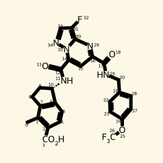 Cc1c(C(=O)O)ccc2c1CC[C@@H]2NC(=O)c1cc(C(=O)NCc2ccc(OC(F)(F)F)cc2)nc2c(F)cnn12